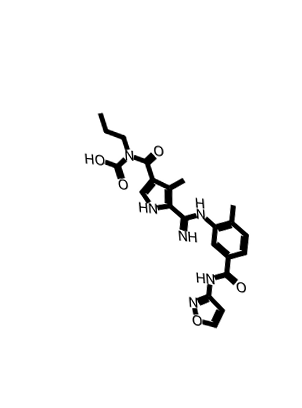 CCCN(C(=O)O)C(=O)c1c[nH]c(C(=N)Nc2cc(C(=O)Nc3ccon3)ccc2C)c1C